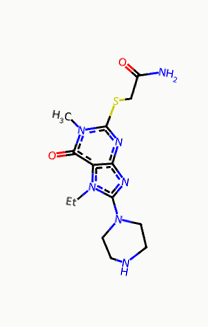 CCn1c(N2CCNCC2)nc2nc(SCC(N)=O)n(C)c(=O)c21